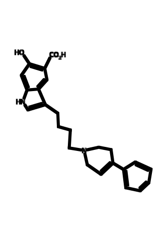 O=C(O)c1cc2c(CCCCN3CC=C(c4ccccc4)CC3)c[nH]c2cc1O